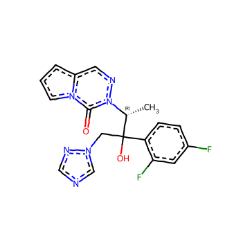 C[C@@H](n1ncc2cccn2c1=O)C(O)(Cn1cncn1)c1ccc(F)cc1F